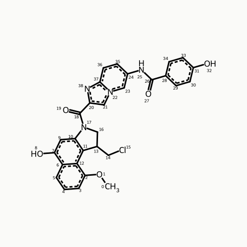 COc1cccc2c(O)cc3c(c12)C(CCl)CN3C(=O)c1cn2cc(NC(=O)c3ccc(O)cc3)ccc2n1